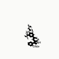 COc1ccccc1-c1c[nH]c2ncc(-c3cc(F)c(NC(=O)CN(C)C)c(C(=O)N(C)C)c3)cc12